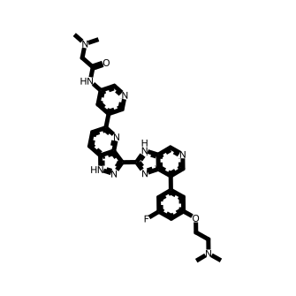 CN(C)CCOc1cc(F)cc(-c2cncc3[nH]c(-c4n[nH]c5ccc(-c6cncc(NC(=O)CN(C)C)c6)nc45)nc23)c1